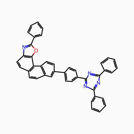 c1ccc(-c2nc(-c3ccccc3)nc(-c3ccc(-c4ccc5c(ccc6ccc7nc(-c8ccccc8)oc7c65)c4)cc3)n2)cc1